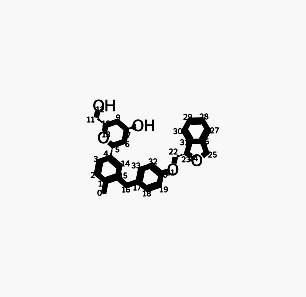 Cc1ccc([C@H]2C[C@@H](O)C[C@@H](CO)O2)cc1Cc1ccc(OC[C@H]2OCc3ccccc32)cc1